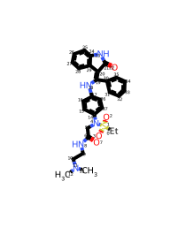 CCS(=O)(=O)N(CC(=O)NCCN(C)C)c1ccc(NC(=C2C(=O)Nc3ccccc32)c2ccccc2)cc1